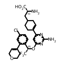 Nc1nc(O[C@H](c2ccc(Cl)cc2C2=CCOCC2)C(F)(F)F)cc(C2=CCC(C[C@H](N)C(=O)O)CC2)n1